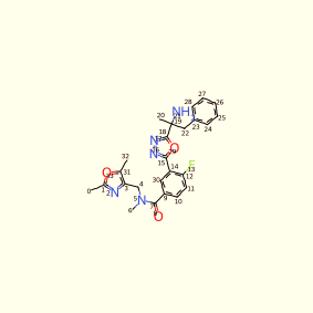 Cc1nc(CN(C)C(=O)c2ccc(F)c(-c3nnc(C(C)(N)Cc4ccccc4)o3)c2)c(C)o1